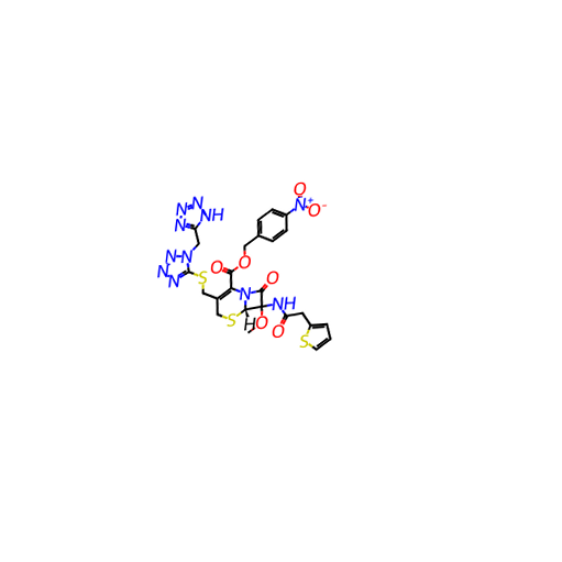 COC1(NC(=O)Cc2cccs2)C(=O)N2C(C(=O)OCc3ccc([N+](=O)[O-])cc3)=C(CSc3nnnn3Cc3nnn[nH]3)CS[C@H]21